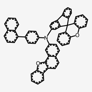 c1ccc2c(c1)Oc1ccccc1C21c2ccccc2-c2ccc(N(c3ccc(-c4cccc5ccccc45)cc3)c3ccc4ccc5c6ccccc6oc5c4c3)cc21